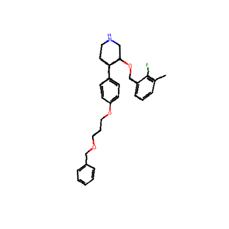 Cc1cccc(COC2CNCCC2c2ccc(OCCCOCc3ccccc3)cc2)c1F